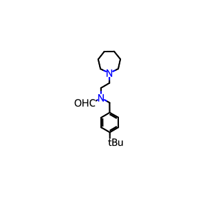 CC(C)(C)c1ccc(CN(C=O)CCN2CCCCCC2)cc1